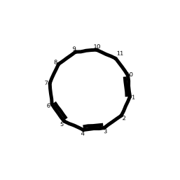 [C]1=CCC=CC=CCCCCC1